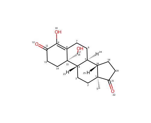 C[C@]12CC[C@H]3[C@@H](CCC4=C(O)C(=O)CC[C@@]43CO)[C@@H]1CCC2=O